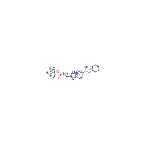 C/C=C(\C=C/c1nc(CNC(=O)OC(C)(C)C)c[nH]1)C(N)Cc1ccccc1